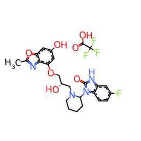 Cc1nc2c(OC[C@@H](O)CN3CCCCC3n3c(=O)[nH]c4cc(F)ccc43)cc(O)cc2o1.O=C(O)C(F)(F)F